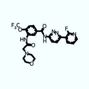 O=C(CN1CCOCC1)Nc1cc(C(=O)Nc2ccc(-c3cccnc3F)nn2)ccc1OC(F)(F)F